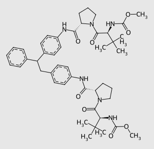 COC(=O)N[C@H](C(=O)N1CCC[C@H]1C(=O)Nc1ccc(CC(c2ccccc2)c2ccc(NC(=O)[C@@H]3CCCN3C(=O)[C@@H](NC(=O)OC)C(C)(C)C)cc2)cc1)C(C)(C)C